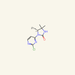 CC(C)[C@@H]1N(c2ccnc(Cl)n2)C(=O)NC1(C)C